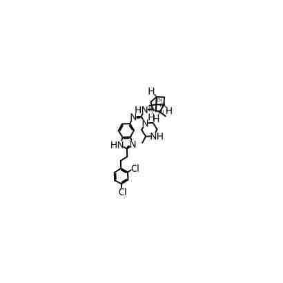 CC1CN(C(=Nc2ccc3[nH]c(CCc4ccc(Cl)cc4Cl)nc3c2)N[C@H]2C[C@@H]3C[C@@H]([C@H]2C)C3(C)C)CCN1